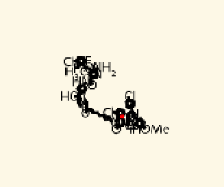 COc1ccc(C2=N[C@@H](c3ccc(Cl)cc3)[C@@H](c3ccc(Cl)cc3)N2C(=O)N2CCN(CCCCCCCCC(=O)N3CCN(C(O)c4ccc(NC(=O)c5cnc(N)c(O[C@H](C)c6c(F)ccc(Cl)c6F)c5)cc4)CC3)C(=O)C2)c(OC(C)C)c1